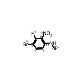 CC(C)Nc1ccc(Br)c(F)c1[N+](=O)[O-]